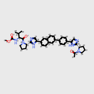 COC(=O)N[C@H](C(=O)N1CCC[C@H]1c1ncc(-c2ccc3cc(-c4ccc(-c5cnc([C@@H]6CCCN6C(C)=O)[nH]5)cc4)ccc3c2)[nH]1)C(C)C